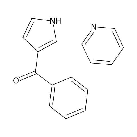 O=C(c1ccccc1)c1cc[nH]c1.c1ccncc1